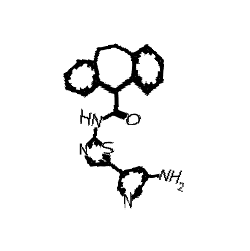 Nc1cncc(-c2cnc(NC(=O)C3c4ccccc4CCc4ccccc43)s2)c1